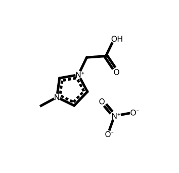 Cn1cc[n+](CC(=O)O)c1.O=[N+]([O-])[O-]